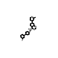 Cc1cc(-c2ccc3c(NCc4ccc(-c5cccc(F)c5)cc4)ncnc3c2)ccn1